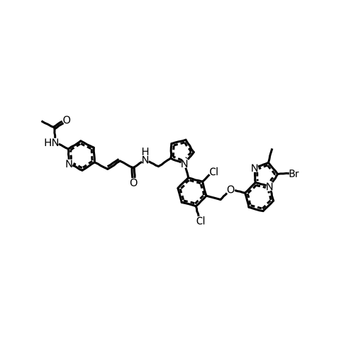 CC(=O)Nc1ccc(C=CC(=O)NCc2cccn2-c2ccc(Cl)c(COc3cccn4c(Br)c(C)nc34)c2Cl)cn1